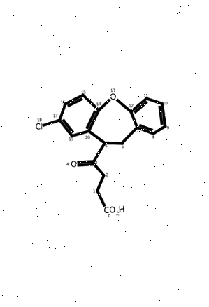 O=C(O)CCC(=O)C1Cc2ccccc2Oc2ccc(Cl)cc21